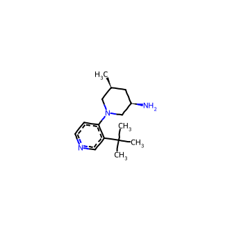 C[C@H]1C[C@@H](N)CN(c2ccncc2C(C)(C)C)C1